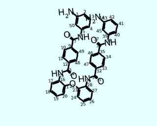 Nc1cccc(NC(=O)c2ccc(C(=O)Nc3ccccc3Oc3ccccc3NC(=O)c3ccc(C(=O)Nc4cccc(N)c4)cc3)cc2)c1